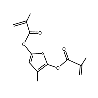 C=C(C)C(=O)Oc1cc(C)c(OC(=O)C(=C)C)s1